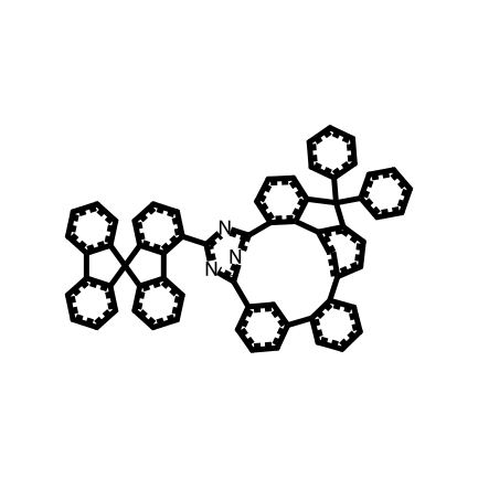 c1ccc(C2(c3ccccc3)c3ccc4cc3-c3c(cccc32)-c2nc(nc(-c3cccc5c3-c3ccccc3C53c5ccccc5-c5ccccc53)n2)-c2cccc(c2)-c2ccccc2-4)cc1